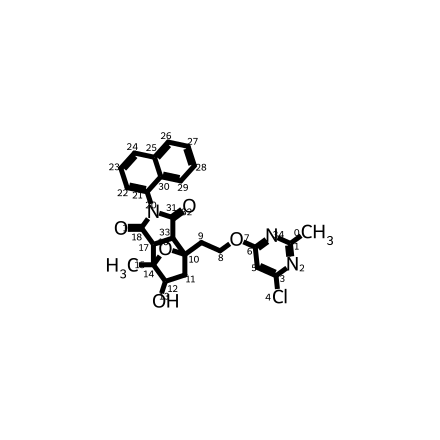 Cc1nc(Cl)cc(OCCC23CC(O)C(C)(O2)C2C(=O)N(c4cccc5ccccc45)C(=O)C23)n1